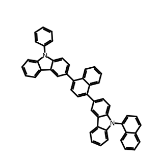 c1ccc(-n2c3ccccc3c3cc(-c4ccc(-c5ccc6c(c5)c5ccccc5n6-c5cccc6ccccc56)c5ccccc45)ccc32)cc1